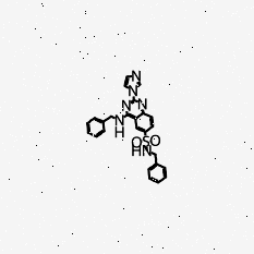 O=S(=O)(NCc1ccccc1)c1ccc2nc(-n3ccnc3)nc(NCc3ccccc3)c2c1